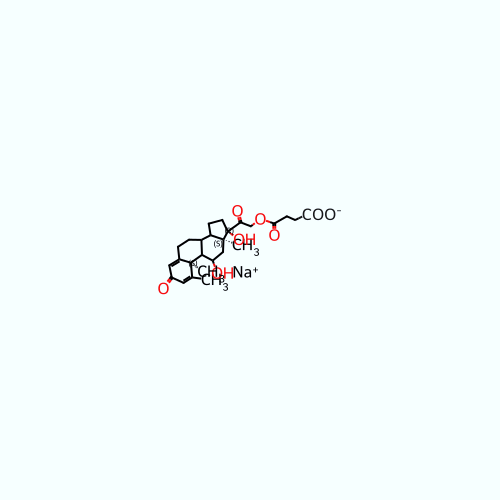 CC1=CC(=O)C=C2CCC3C(C(O)C[C@@]4(C)C3CC[C@]4(O)C(=O)COC(=O)CCC(=O)[O-])[C@@]12C.[Na+]